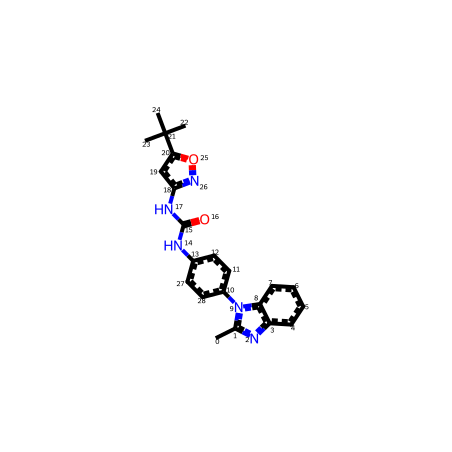 Cc1nc2ccccc2n1-c1ccc(NC(=O)Nc2cc(C(C)(C)C)on2)cc1